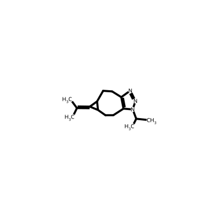 CC(C)=C1C2CCc3nnn(C(C)C)c3CCC12